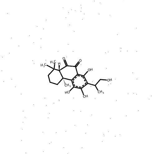 CC(CO)c1c(O)c(O)c2c(c1O)C(=O)C(=O)[C@H]1C(C)(C)CCC[C@]21C